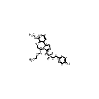 CCOC[C@@H]1COc2c(ccnc2OC)-c2nnc(NS(=O)(=O)CCc3ncc(Cl)cn3)n21